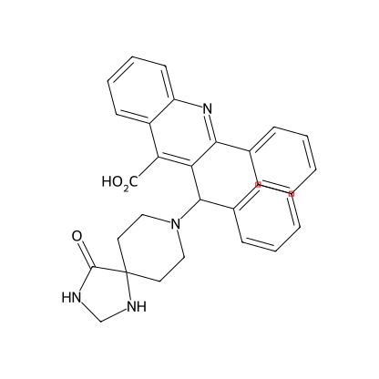 O=C(O)c1c(C(c2ccccc2)N2CCC3(CC2)NCNC3=O)c(-c2ccccc2)nc2ccccc12